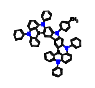 Cc1ccc(-n2c3cc4c(cc3c3cc5c(cc32)N(c2ccccc2)c2cccc3c2B5c2ccccc2N3c2ccccc2)B2c3ccccc3N(c3ccccc3)c3cccc(c32)N4c2ccccc2)cc1